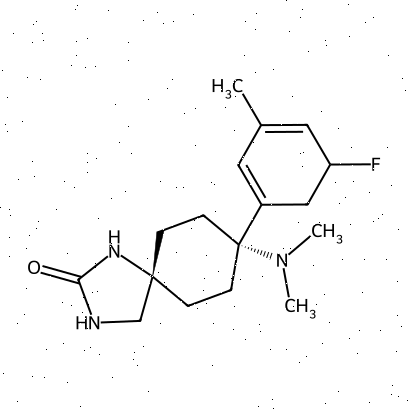 CC1=CC(F)CC([C@]2(N(C)C)CC[C@@]3(CC2)CNC(=O)N3)=C1